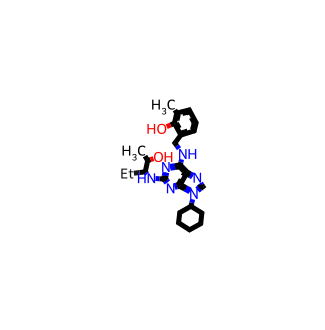 CCC(Nc1nc(NCc2cccc(C)c2O)c2ncn(C3CCCCC3)c2n1)C(C)O